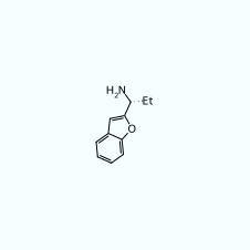 CC[C@@H](N)c1cc2ccccc2o1